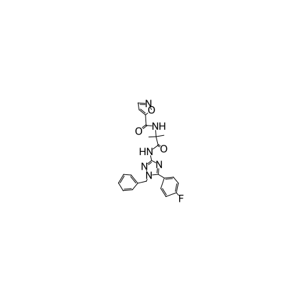 CC(C)(NC(=O)c1ccno1)C(=O)Nc1nc(-c2ccc(F)cc2)n(Cc2ccccc2)n1